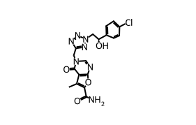 Cc1c(C(N)=O)oc2ncn(Cc3nnn(C[C@H](O)c4ccc(Cl)cc4)n3)c(=O)c12